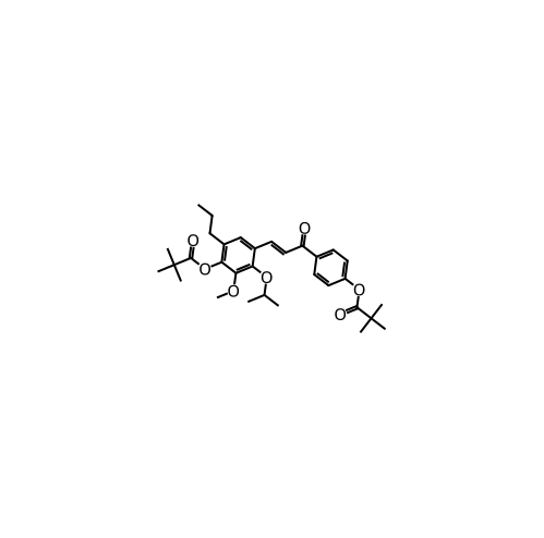 CCCc1cc(C=CC(=O)c2ccc(OC(=O)C(C)(C)C)cc2)c(OC(C)C)c(OC)c1OC(=O)C(C)(C)C